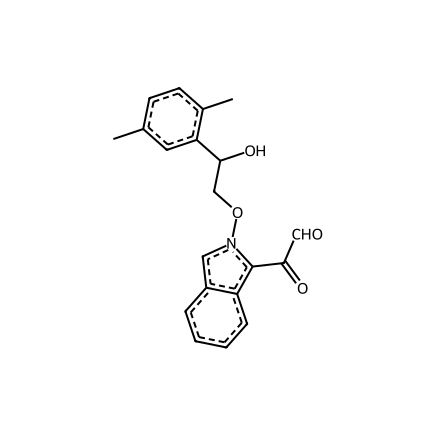 Cc1ccc(C)c(C(O)COn2cc3ccccc3c2C(=O)C=O)c1